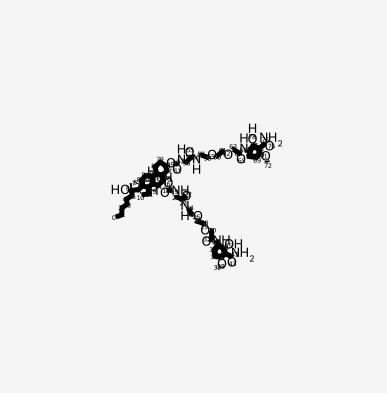 CCCCCC[C@](C)(O)[C@H]1CC[C@H]2[C@@H]3C[C@H](OC(=O)NCC(=O)NCCOCCOCC(=O)Nc4ccc(OC)c(C(N)=O)c4O)[C@H]4C[C@@H](OC(=O)NCC(=O)NCCOCCOCC(=O)Nc5ccc(OC)c(C(N)=O)c5O)CC[C@]4(C)[C@H]3CC[C@@]21C